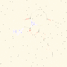 CCOCCOC(=O)[C@@H]1SC(=O)CCCCC(=O)N1C(=O)CN